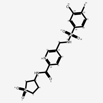 O=C(NC1CCS(=O)(=O)C1)c1ccc(CNS(=O)(=O)c2ccc(F)c(Cl)c2)cn1